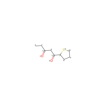 CCC(=O)CC(=O)C1CCCS1